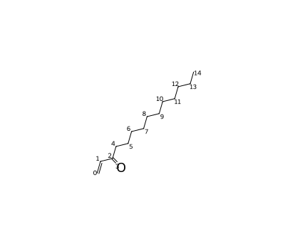 C=CC(=O)CCCCCCCCCCC